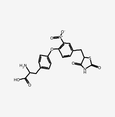 NC(Cc1ccc(Oc2ccc(CC3SC(=O)NC3=O)cc2[N+](=O)[O-])cc1)C(=O)O